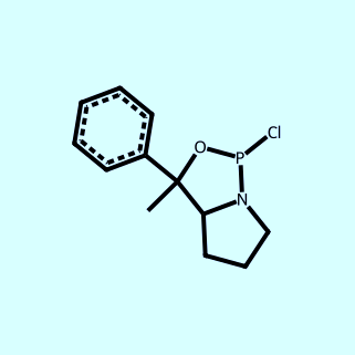 CC1(c2ccccc2)OP(Cl)N2CCCC21